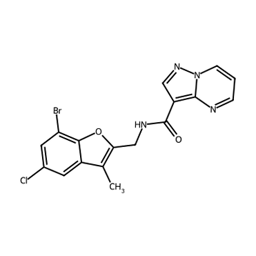 Cc1c(CNC(=O)c2cnn3cccnc23)oc2c(Br)cc(Cl)cc12